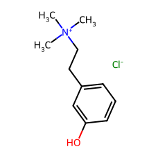 C[N+](C)(C)CCc1cccc(O)c1.[Cl-]